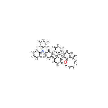 C=C1/C=C\C=C/COc2c1cccc2-c1ccccc1-c1ccccc1-c1cccc(N(c2ccccc2)c2ccccc2)c1